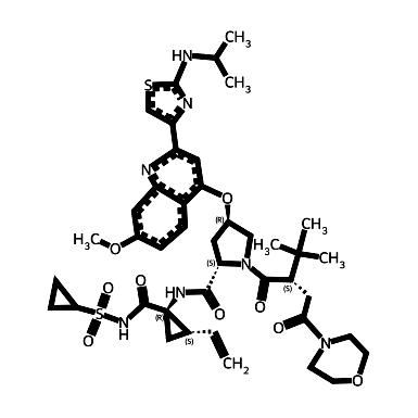 C=C[C@@H]1C[C@]1(NC(=O)[C@@H]1C[C@@H](Oc2cc(-c3csc(NC(C)C)n3)nc3cc(OC)ccc23)CN1C(=O)[C@@H](CC(=O)N1CCOCC1)C(C)(C)C)C(=O)NS(=O)(=O)C1CC1